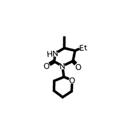 CCC1C(=O)N(C2CCCCO2)C(=O)NC1C